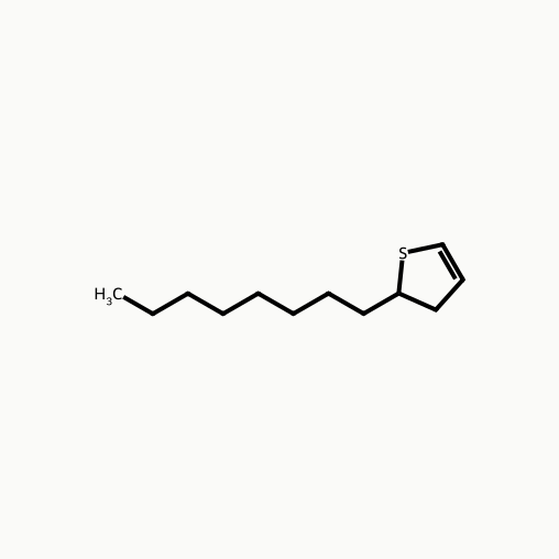 CCCCCCCCC1CC=CS1